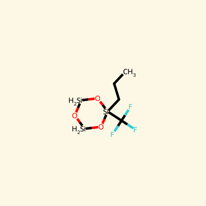 CCC[Si]1(C(F)(F)F)O[SiH2]O[SiH2]O1